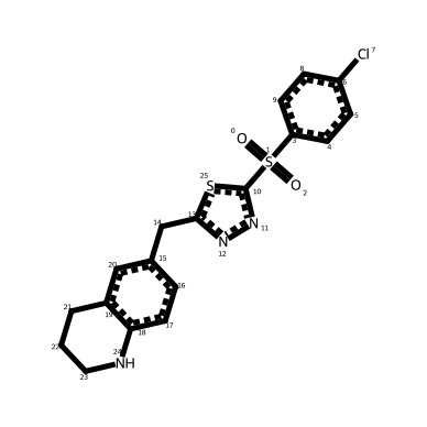 O=S(=O)(c1ccc(Cl)cc1)c1nnc(Cc2ccc3c(c2)CCCN3)s1